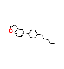 CCCCCc1ccc(-c2ccc3occc3c2)cc1